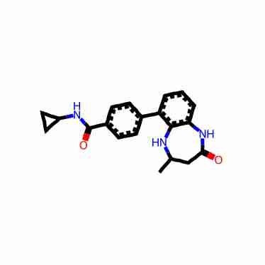 CC1CC(=O)Nc2cccc(-c3ccc(C(=O)NC4CC4)cc3)c2N1